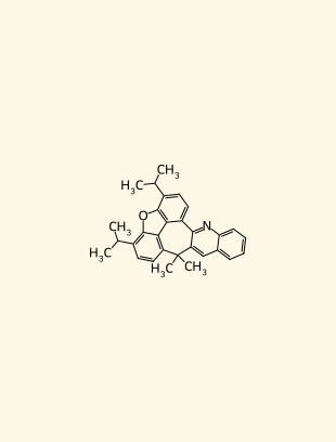 CC(C)c1ccc2c3c1oc1c(C(C)C)ccc(c13)C(C)(C)c1cc3ccccc3nc1-2